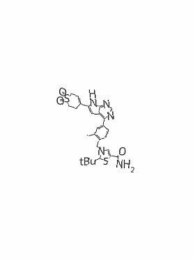 Cc1cc(-c2ncnc3[nH]c(C4=CCS(=O)(=O)CC4)cc23)ccc1CN1C=C(C(N)=O)SC1C(C)(C)C